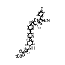 CCc1nc2ccc(-c3cnc(N4CCC(NC5CN(C(=O)OC(C)(C)C)C5)CC4)nc3)cn2c1N(C)c1nc(-c2ccc(F)cc2)c(C#N)s1